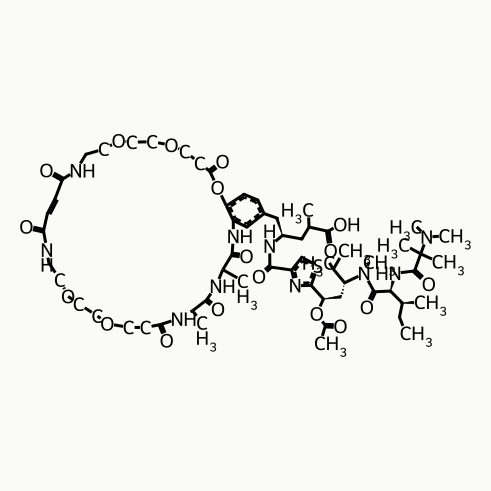 CC[C@H](C)[C@H](NC(=O)C(C)(C)N(C)C)C(=O)N(C)[C@H](C[C@@H](OC(C)=O)c1nc(C(=O)N[C@@H](Cc2ccc3c(c2)NC(=O)C(C)NC(=O)C(C)NC(=O)CCOCCOCCNC(=O)/C=C\C(=O)NCCOCCOCCC(=O)O3)CC(C)C(=O)O)cs1)C(C)C